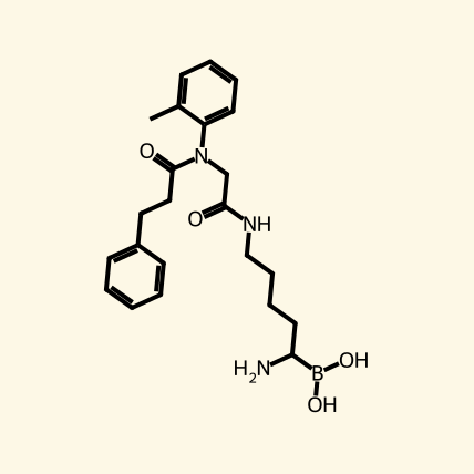 Cc1ccccc1N(CC(=O)NCCCCC(N)B(O)O)C(=O)CCc1ccccc1